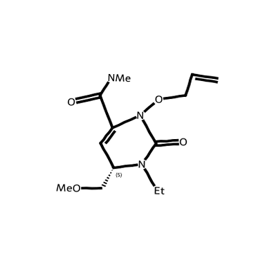 C=CCON1C(=O)N(CC)[C@H](COC)C=C1C(=O)NC